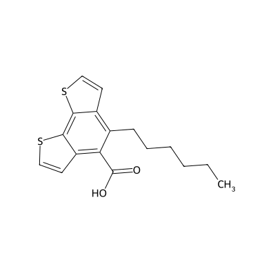 CCCCCCc1c(C(=O)O)c2ccsc2c2sccc12